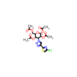 CC(=O)OCC1O[C@@H](OC(C)=O)C(OC(C)=O)C(n2cc(-c3nc(Cl)cs3)nn2)[C@H]1OC(C)=O